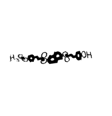 COc1ccc(CCC(=O)Oc2ccc3cc(OC(=O)CCc4ccc(O)cc4)ccc3c2)cc1